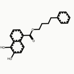 O=C(OCCCCc1ccccc1)c1cccc2c(O)c(O)ccc12